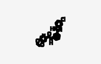 O=C(NC12CCCC(c3nc4cc(Cl)ccc4[nH]3)(C1)C2)c1cc2c(cn1)OCCO2